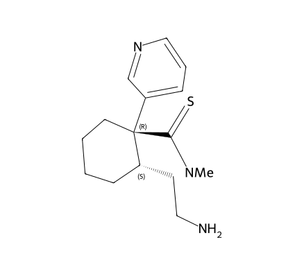 CNC(=S)[C@]1(c2cccnc2)CCCC[C@H]1CCN